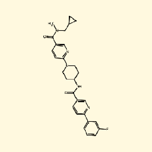 CN(CC1CC1)C(=O)c1ccc(N2CCC(NC(=O)c3ccc(-c4cccc(F)c4)nc3)CC2)nc1